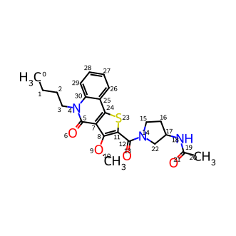 CCCCn1c(=O)c2c(OC)c(C(=O)N3CCC(NC(C)=O)C3)sc2c2ccccc21